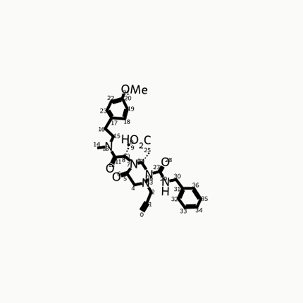 C#CCN1CC(=O)N([C@@H](CC(=O)O)C(=O)N(C)CCc2ccc(OC)cc2)[C@H](C)N1C(=O)NCc1ccccc1